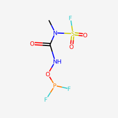 CN(C(=O)NOP(F)F)S(=O)(=O)F